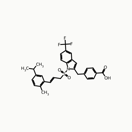 Cc1ccc(C(C)C)cc1C=CCS(=O)(=O)n1c(Cc2ccc(C(=O)O)cc2)cc2cc(C(F)(F)F)ccc21